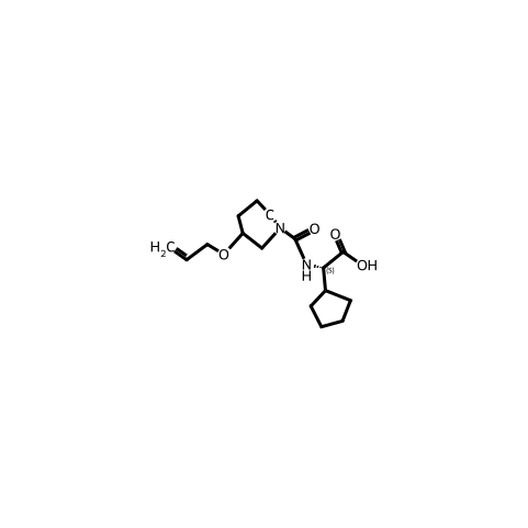 C=CCOC1CCCN(C(=O)N[C@H](C(=O)O)C2CCCC2)C1